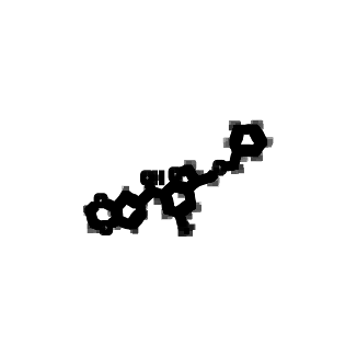 OC(c1ccc2c(c1)OCCO2)c1cc(Br)cc2c1OCC2COCc1ccccc1